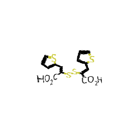 O=C(O)C(=Cc1cccs1)SSC(=Cc1cccs1)C(=O)O